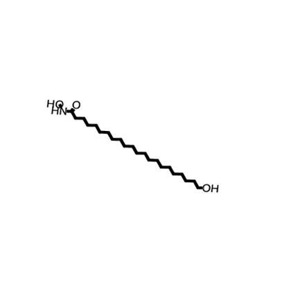 O=C(CCCCCCCCCCCCCCCCCCCCCO)NO